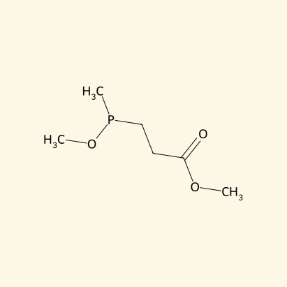 COC(=O)CCP(C)OC